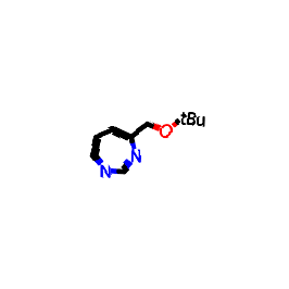 CC(C)(C)OCC1=CC=C=NC=N1